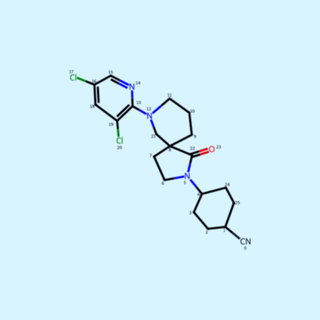 N#CC1CCC(N2CCC3(CCCN(c4ncc(Cl)cc4Cl)C3)C2=O)CC1